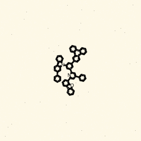 c1ccc(-c2cc(-c3cc(-c4ccc5c6ccccc6c6ccccc6c5c4)cc(-n4c5ccccc5c5ccc(-c6ccccc6)cc54)c3)nc(-c3cccc4c3oc3ccccc34)c2)cc1